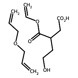 C=CCOCC=C.C=COC(=O)C(CCO)CC(=O)O